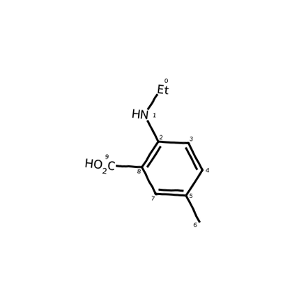 CCNc1ccc(C)cc1C(=O)O